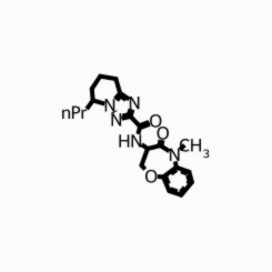 CCCC1CCCc2nc(C(=O)NC3COc4ccccc4N(C)C3=O)nn21